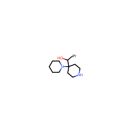 CC(C)C(O)C1(N2CCCCC2)CCNCC1